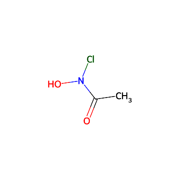 CC(=O)N(O)Cl